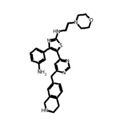 Nc1cccc(-c2nc(NCCN3CCOCC3)sc2-c2cc(Cc3ccc4c(c3)CNCC4)ncn2)c1